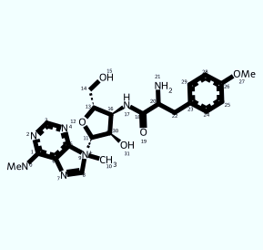 CNc1ncnc2c1N=C[N+]2(C)[C@@H]1O[C@H](CO)[C@@H](NC(=O)C(N)Cc2ccc(OC)cc2)[C@H]1O